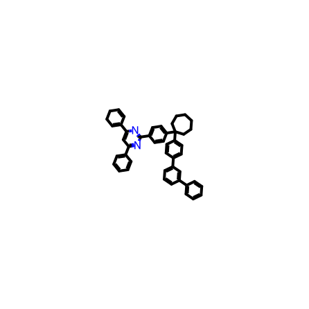 C1=CC(c2cc(-c3ccccc3)nc(-c3ccc(C4(c5ccc(-c6cccc(-c7ccccc7)c6)cc5)CCCCCC4)cc3)n2)=CCC1